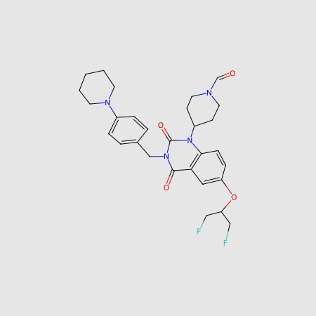 O=CN1CCC(n2c(=O)n(Cc3ccc(N4CCCCC4)cc3)c(=O)c3cc(OC(CF)CF)ccc32)CC1